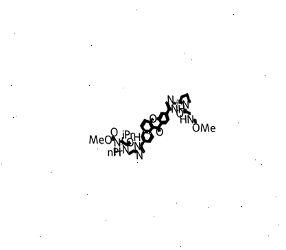 CCCN(Cc1ncc(-c2ccc3c(ccc4oc5cc(-c6cnc([C@@H]7CCCN7C(=O)CNCOC)[nH]6)ccc5c(=O)c43)c2)[nH]1)C(=O)[C@@H](NC(=O)OC)C(C)C